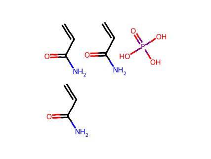 C=CC(N)=O.C=CC(N)=O.C=CC(N)=O.O=P(O)(O)O